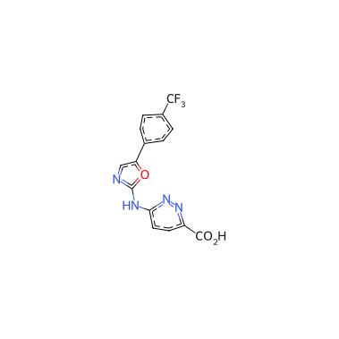 O=C(O)c1ccc(Nc2ncc(-c3ccc(C(F)(F)F)cc3)o2)nn1